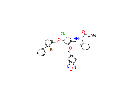 COC(=O)C(NCc1cc(Cl)c(OCc2cccc(-c3ccccc3)c2Br)cc1OCc1ccc2nonc2c1)c1ccccc1